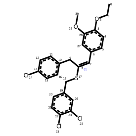 CCOc1ccc(/C=C(\Cc2ccc(Cl)cc2)SCc2ccc(Cl)c(Cl)c2)cc1OC